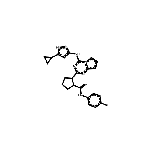 O=C(Nc1ccc(F)nc1)C1CCCC1c1nc(Nc2cc(C3CC3)[nH]n2)n2cccc2n1